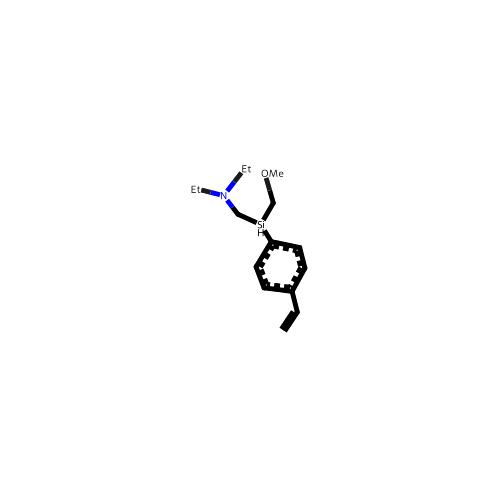 C=Cc1ccc([SiH](COC)CN(CC)CC)cc1